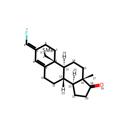 CSC[C@]12CCC(=CF)C=C1CC[C@@H]1[C@@H]2CC[C@]2(C)C(=O)CC[C@@H]12